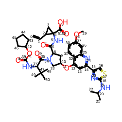 C=CC1CC1(NC(=O)C1CC(Oc2cc(-c3csc(NC(C)C)n3)nc3cc(OC)ccc23)CN1C(=O)C(NC(=O)OC1CCCC1)C(C)(C)C)C(=O)O